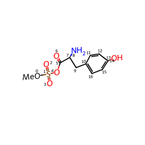 COS(=O)(=O)OC(=O)[C@@H](N)Cc1ccc(O)cc1